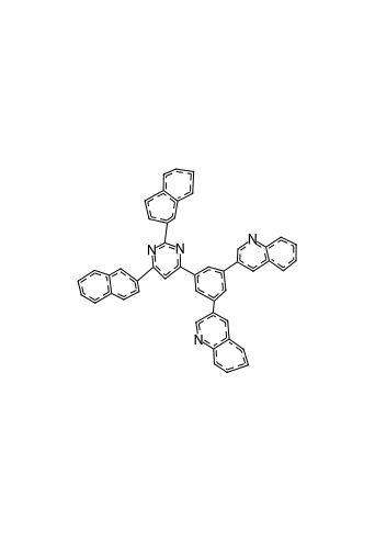 c1ccc2cc(-c3cc(-c4cc(-c5cnc6ccccc6c5)cc(-c5cnc6ccccc6c5)c4)nc(-c4ccc5ccccc5c4)n3)ccc2c1